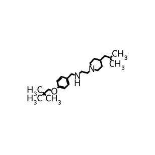 CC(C)CC1CCN(CCNCc2ccc(OCC(C)(C)C)cc2)CC1